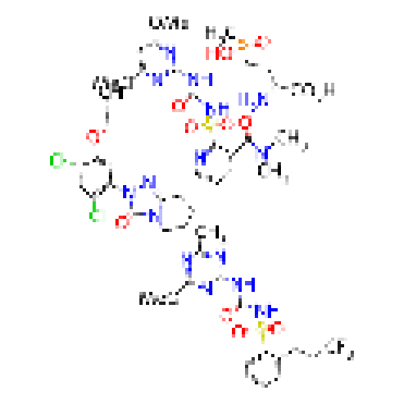 C#CCOc1cc(-n2nc3n(c2=O)CCCC3)c(Cl)cc1Cl.COc1cc(OC)nc(NC(=O)NS(=O)(=O)c2ncccc2C(=O)N(C)C)n1.COc1nc(C)nc(NC(=O)NS(=O)(=O)c2ccccc2CCC(F)(F)F)n1.CP(=O)(O)CCC(N)C(=O)O